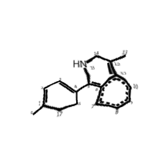 CC1=CC=C(C2=c3ccccc3=C(C)CN2)CC1